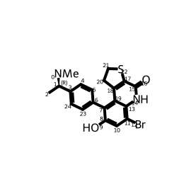 CN[C@H](C)c1ccc(-c2c(O)cc(Br)c3[nH]c(=O)c4c(c23)CCS4)cc1